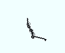 CCCCCC(=O)Oc1ccc(-c2cnc(C3=COC(c4ccccc4CCCCCCCCCC4CC4)O3)nc2)cc1